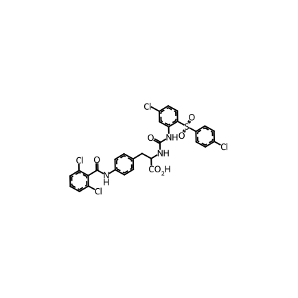 O=C(Nc1cc(Cl)ccc1S(=O)(=O)c1ccc(Cl)cc1)NC(Cc1ccc(NC(=O)c2c(Cl)cccc2Cl)cc1)C(=O)O